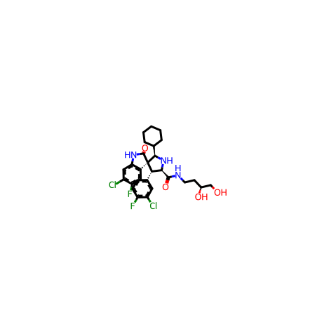 O=C(NCC[C@H](O)CO)[C@@H]1N[C@H](C2CCCCC2)[C@]2(C(=O)Nc3cc(Cl)c(F)cc32)[C@H]1c1ccc(F)c(Cl)c1